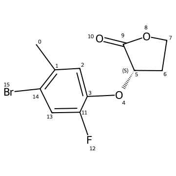 Cc1cc(O[C@H]2CCOC2=O)c(F)cc1Br